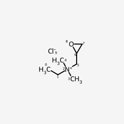 CC[N+](C)(C)CC1CO1.[Cl-]